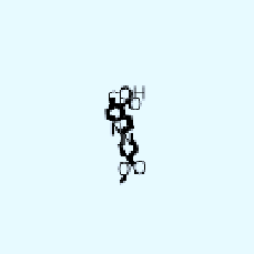 CCOC(=O)C1CCN(c2ccc3c(C(=O)O)c(Cl)ccc3n2)CC1